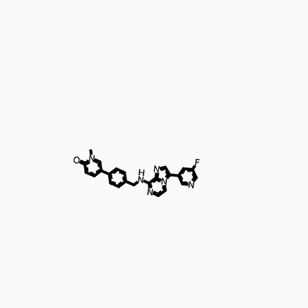 Cn1cc(-c2ccc(CNc3nccn4c(-c5cncc(F)c5)cnc34)cc2)ccc1=O